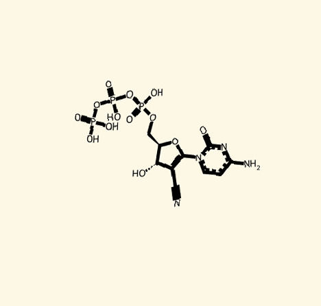 N#CC1=C(n2ccc(N)nc2=O)O[C@H](COP(=O)(O)OP(=O)(O)OP(=O)(O)O)[C@H]1O